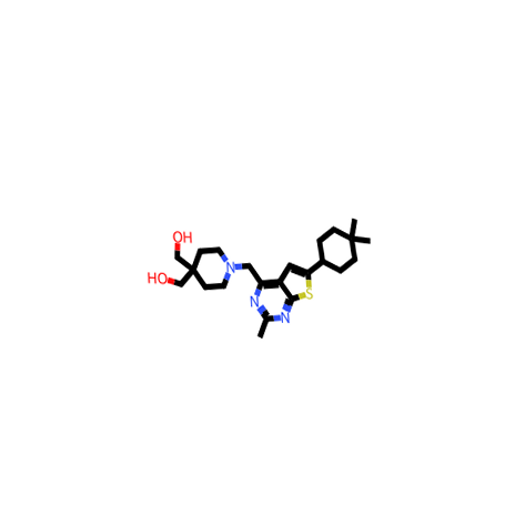 Cc1nc(CN2CCC(CO)(CO)CC2)c2cc(C3CCC(C)(C)CC3)sc2n1